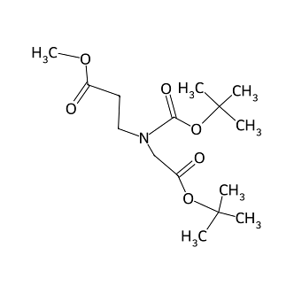 COC(=O)CCN(CC(=O)OC(C)(C)C)C(=O)OC(C)(C)C